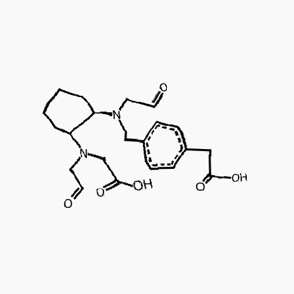 O=CCN(CC(=O)O)C1CCCC[C@H]1N(CC=O)Cc1ccc(CC(=O)O)cc1